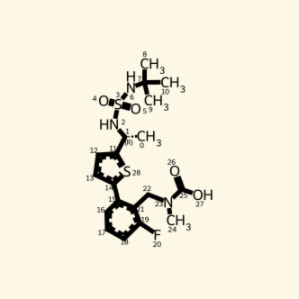 C[C@@H](NS(=O)(=O)NC(C)(C)C)c1ccc(-c2cccc(F)c2CN(C)C(=O)O)s1